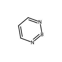 b1ncccn1